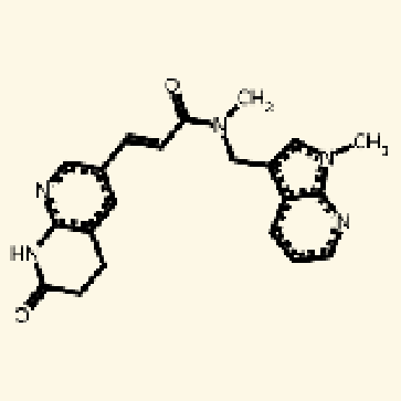 CN(Cc1cn(C)c2ncccc12)C(=O)C=Cc1cnc2c(c1)CCC(=O)N2